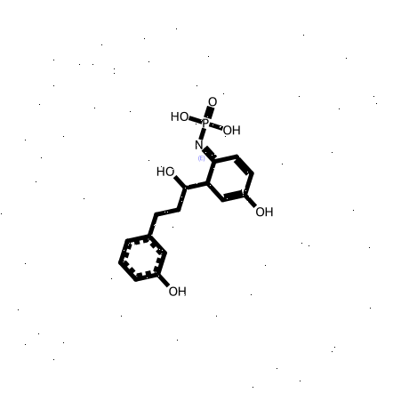 O=P(O)(O)/N=C1\C=CC(O)=CC1C(O)CCc1cccc(O)c1